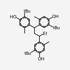 CCC(CC(c1cc(C(C)(C)C)c(O)cc1C)c1cc(C(C)(C)C)c(O)cc1C)c1cc(C(C)(C)C)c(O)cc1C